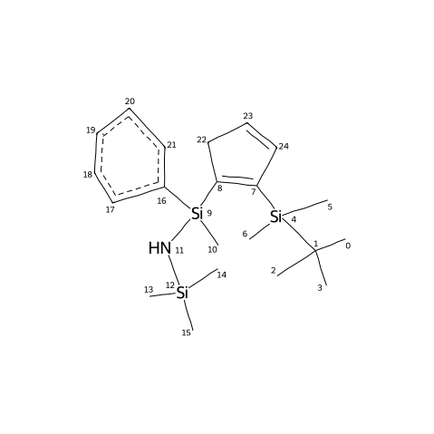 CC(C)(C)[Si](C)(C)C1=C([Si](C)(N[Si](C)(C)C)c2ccccc2)CC=C1